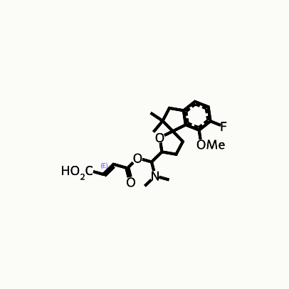 COc1c(F)ccc2c1C1(CCC(C(OC(=O)/C=C/C(=O)O)N(C)C)O1)C(C)(C)C2